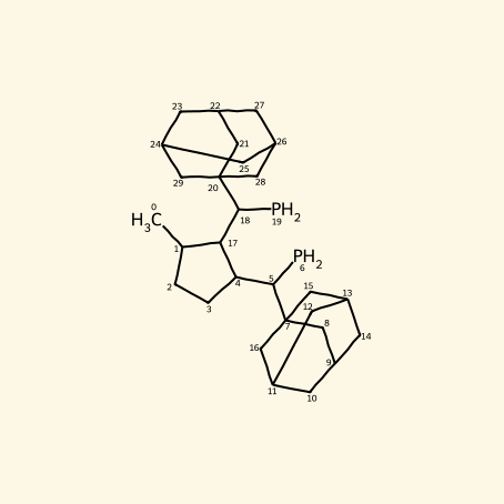 CC1CCC(C(P)C23CC4CC(CC(C4)C2)C3)C1C(P)C12CC3CC(CC(C3)C1)C2